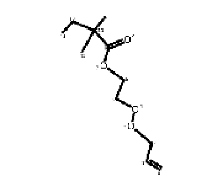 C=CCOOCCOC(=O)C(C)(C)CC